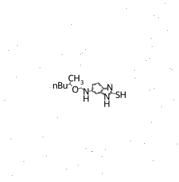 CCCCC(C)OCNc1ccc2nc(S)[nH]c2c1